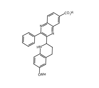 COc1ccc2c(c1)CCC(c1nc3cc(C(=O)O)ccc3nc1-c1ccccc1)N2